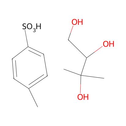 CC(C)(O)C(O)CO.Cc1ccc(S(=O)(=O)O)cc1